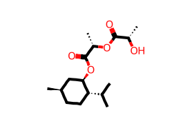 CC(C)[C@@H]1CC[C@@H](C)C[C@H]1OC(=O)[C@H](C)OC(=O)[C@H](C)O